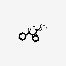 COC(=O)C1C2C=CC(C2)C1C(=O)c1ccccc1